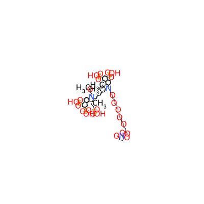 COCCN1c2ccc3c(S(=O)(=O)O)cc(S(=O)(=O)O)cc3c2C(C)(CCCS(=O)(=O)O)C1/C=C/C=C/C=C1/N(CCOCCOCCOCCOCCOCCC(=O)ON2C(=O)CCC2=O)c2ccc3c(S(=O)(=O)O)cc(S(=O)(=O)O)cc3c2C1(C)C